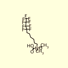 CO[N+](C)(CCCCCCC(F)(F)C(F)(F)C(F)(F)C(F)(F)F)C(=O)O